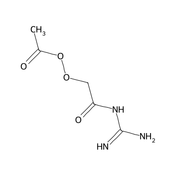 CC(=O)OOCC(=O)NC(=N)N